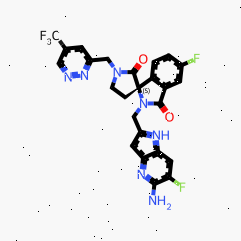 Nc1nc2cc(CN3C(=O)c4cc(F)ccc4[C@]34CCN(Cc3cc(C(F)(F)F)cnn3)C4=O)[nH]c2cc1F